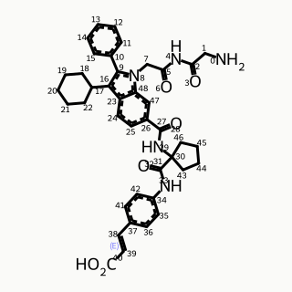 NCC(=O)NC(=O)Cn1c(-c2ccccc2)c(C2CCCCC2)c2ccc(C(=O)NC3(C(=O)Nc4ccc(/C=C/C(=O)O)cc4)CCCC3)cc21